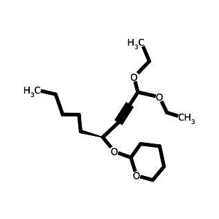 CCCCC[C@@H](C#CC(OCC)OCC)OC1CCCCO1